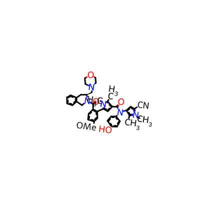 COc1ccc(C(=O)N2Cc3ccccc3C[C@H]2CN2CCOCC2)c(-c2cc(C(=O)N(c3ccc(O)cc3)c3cc(C#N)n(C)c3C)c(C)n2C)c1